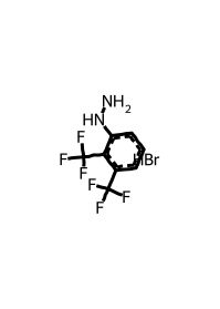 Br.NNc1cccc(C(F)(F)F)c1C(F)(F)F